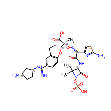 CC1(C)[C@H](NC(=O)/C(=N\O[C@](C)(C(=O)O)[C@H]2CCc3cc(C(=N)N[C@H]4CC[C@H](N)C4)ccc3O2)c2csc(N)n2)C(=O)N1OS(=O)(=O)O